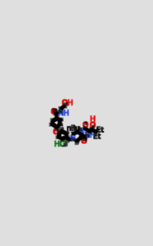 CCCCN1C(=O)[C@@H]([C@H](O)C(CC)CC)NC(=O)C12CCN(Cc1ccc(Oc3ccc(C(=O)NCCO)cc3)cc1)CC2.Cl